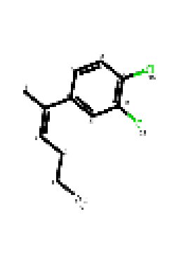 CC(=O)CC/C=C(/C)c1ccc(Cl)c(Cl)c1